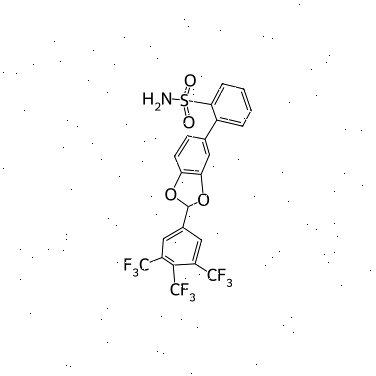 NS(=O)(=O)c1ccccc1-c1ccc2c(c1)OC(c1cc(C(F)(F)F)c(C(F)(F)F)c(C(F)(F)F)c1)O2